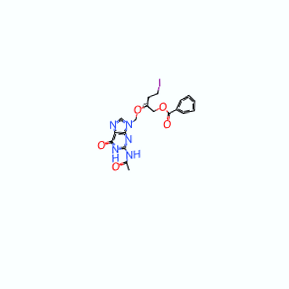 CC(=O)Nc1nc2c(ncn2CO[C@@H](CCI)COC(=O)c2ccccc2)c(=O)[nH]1